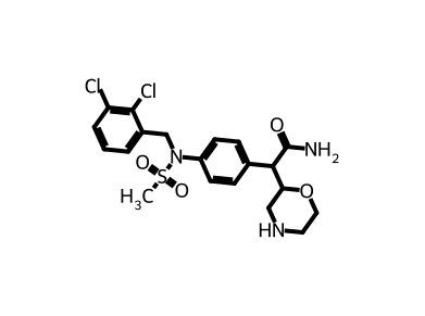 CS(=O)(=O)N(Cc1cccc(Cl)c1Cl)c1ccc(C(C(N)=O)C2CNCCO2)cc1